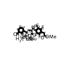 CCCN(c1cc(F)c(CC(=O)OC)c(F)c1F)N(C[C@H](O[Si](C)(C)C(C)(C)C)c1cccc(Cl)c1)C(=O)OC(C)(C)C